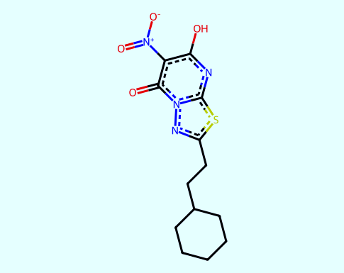 O=c1c([N+](=O)[O-])c(O)nc2sc(CCC3CCCCC3)nn12